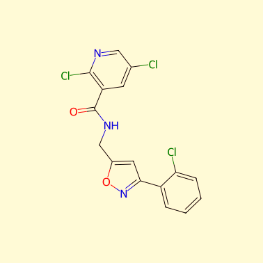 O=C(NCc1cc(-c2ccccc2Cl)no1)c1cc(Cl)cnc1Cl